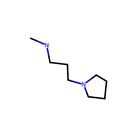 C[N]CCCN1CCCC1